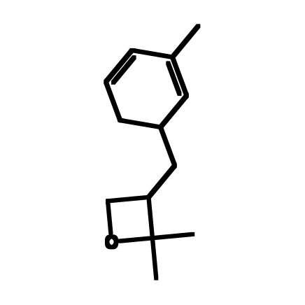 CC1=CC(CC2COC2(C)C)CC=C1